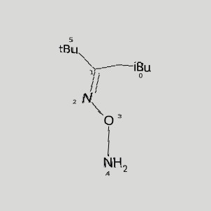 CCC(C)/C(=N\ON)C(C)(C)C